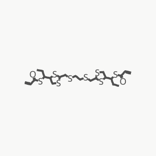 C=CC(=O)SC(CC)C1CSC(CSCCSCC2SCC(C(CC)SC(=O)C=C)S2)S1